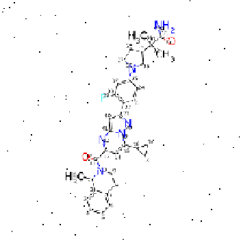 C[C@@H]1c2ccccc2CCN1C(=O)c1cc(C2CC2)n2nc(-c3ccc(N4CCC(C(C)(C)C(N)=O)C4)cc3F)cc2n1